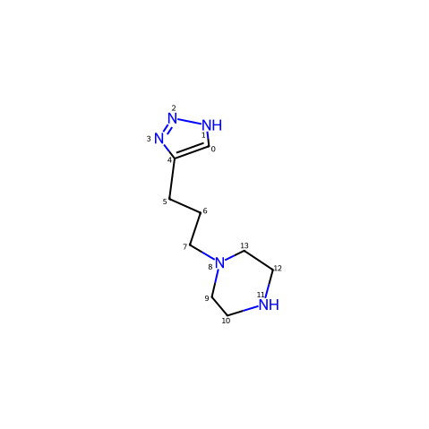 c1[nH]nnc1CCCN1CCNCC1